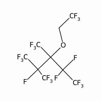 FC(F)(F)COC(C(F)(F)F)(C(F)(F)C(F)(F)F)C(F)(C(F)(F)F)C(F)(F)F